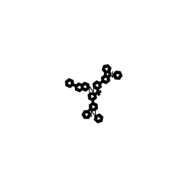 CC1(C)c2cc(-c3ccc4c(c3)c3ccccc3n4-c3ccccc3)ccc2N(c2ccc3cc(-c4ccccc4)ccc3c2)c2ccc(-c3ccc4c(c3)c3ccccc3n4-c3ccccc3)cc21